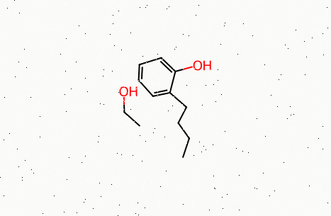 CCCCc1ccccc1O.CCO